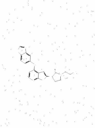 C[C@@H]1[C@H](c2cc3c(Nc4ccc5scnc5c4)ccnc3s2)CCN1CCO